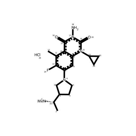 CN[C@@H](C)C1CCN(c2cc3c(c(C)c2F)c(=O)n(N)c(=O)n3C2CC2)C1.Cl